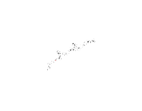 C=CC(=O)OCOC(=O)C1CCC(C2CCC(C(=O)Oc3ccc(OC(=O)C4CCC(C(=O)Oc5ccc(OC(=O)C6CCC(C7CCC(C(=O)OCOC(=O)C=C)CC7)CC6)c(C(=O)OC(=C)C)c5)CC4)cc3C(=O)OC(=C)C)CC2)CC1